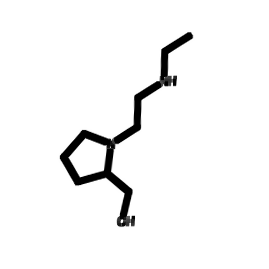 CCNCCN1CCCC1CO